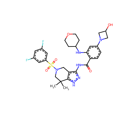 CC1(C)CN(S(=O)(=O)c2cc(F)cc(F)c2)Cc2c(NC(=O)c3ccc(N4CC(O)C4)cc3NC3CCOCC3)n[nH]c21